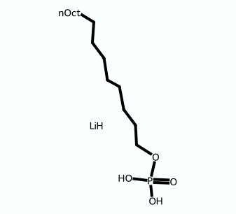 CCCCCCCCCCCCCCCCOP(=O)(O)O.[LiH]